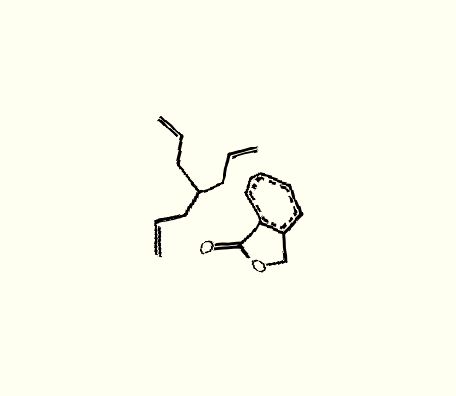 C=CCC(CC=C)CC=C.O=C1OCc2ccccc21